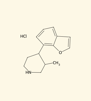 CC1CNCCC1c1cccc2ccoc12.Cl